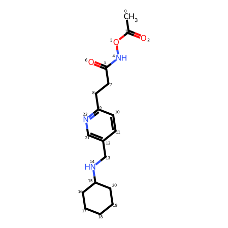 CC(=O)ONC(=O)CCc1ccc(CNC2CCCCC2)cn1